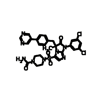 C[C@@]1(Cc2ccc(-c3cncnc3)cc2)C(=O)N(c2cc(Cl)cc(Cl)c2)c2ncc(S(=O)(=O)N3CCN(C(N)=O)CC3)n21